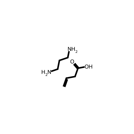 C=CCC(=O)O.NCCCN